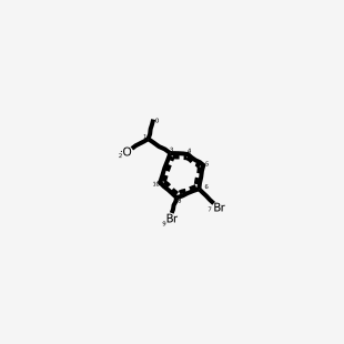 CC([O])c1ccc(Br)c(Br)c1